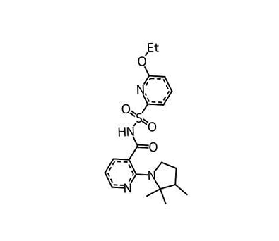 CCOc1cccc(S(=O)(=O)NC(=O)c2cccnc2N2CCC(C)C2(C)C)n1